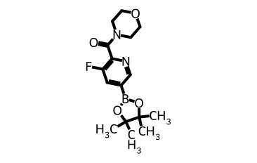 CC1(C)OB(c2cnc(C(=O)N3CCOCC3)c(F)c2)OC1(C)C